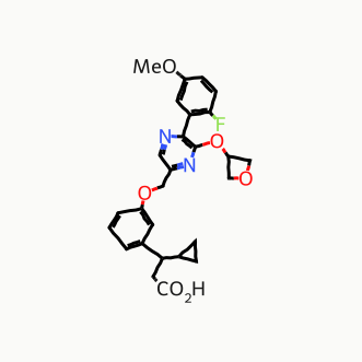 COc1ccc(F)c(-c2ncc(COc3cccc(C(CC(=O)O)C4CC4)c3)nc2OC2COC2)c1